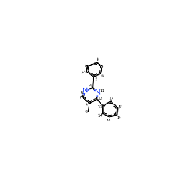 Cc1cnc(-c2ccccc2)nc1-c1ccccc1